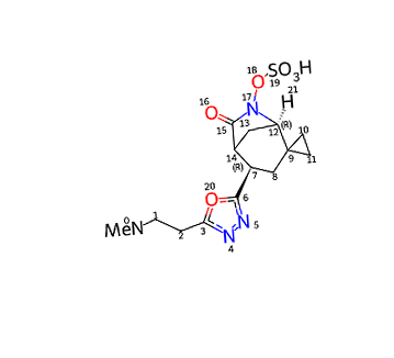 CNCCc1nnc([C@@H]2CC3(CC3)[C@H]3CC2C(=O)N3OS(=O)(=O)O)o1